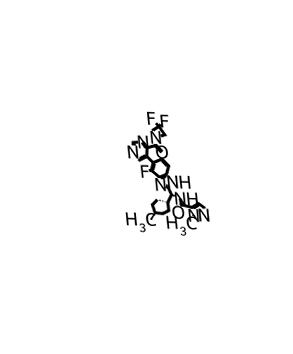 Cn1nccc1C(=O)N[C@H](c1nc2c(F)c(-c3cncnc3C(=O)N3CC(F)(F)C3)ccc2[nH]1)[C@H]1CC[C@H](C)CC1